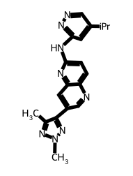 Cc1nn(C)nc1-c1cnc2ccc(Nc3cc(C(C)C)cnn3)nc2c1